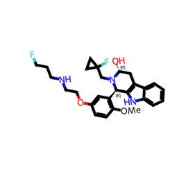 COc1ccc(OCCNCCCF)cc1[C@@H]1c2[nH]c3ccccc3c2C[C@@H](O)N1CC1(F)CC1